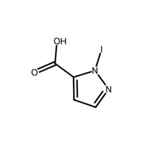 O=C(O)c1ccnn1I